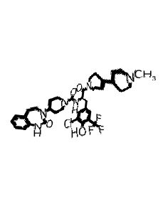 CN1CCC(C2CCN(C(=O)[C@@H](Cc3cc(Cl)c(O)c(C(F)(F)F)c3)NC(=O)N3CCC(N4CCc5ccccc5NC4=O)CC3)CC2)CC1